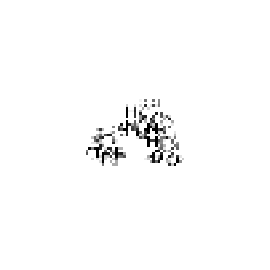 COc1ccc(C(=O)Nc2ccccc2C(=O)N/N=C/c2ccc(Cl)c(C(F)(F)F)c2)cc1OC